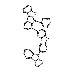 c1ccc(-n2c3oc4ccccc4c3c3cccc(-c4ccc5oc6ccc(-n7c8ccccc8c8ccccc87)cc6c5c4)c32)cc1